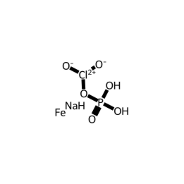 O=P(O)(O)O[Cl+2]([O-])[O-].[Fe].[NaH]